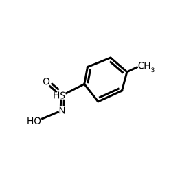 Cc1ccc(/[SH](=O)=N/O)cc1